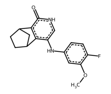 COc1cc(Nc2c[nH]c(=O)c3c2C2CCC3C2)ccc1F